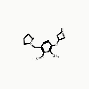 COc1c(CN2CCCC2)ccc(OC2CNC2)c1C